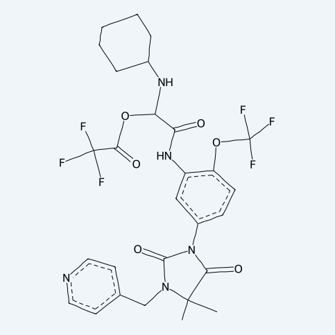 CC1(C)C(=O)N(c2ccc(OC(F)(F)F)c(NC(=O)C(NC3CCCCC3)OC(=O)C(F)(F)F)c2)C(=O)N1Cc1ccncc1